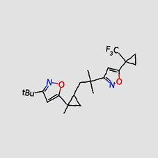 CC(C)(C)c1cc(C2(C)CC2CC(C)(C)c2cc(C3(C(F)(F)F)CC3)on2)on1